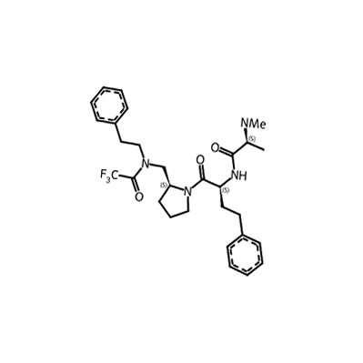 CN[C@@H](C)C(=O)N[C@@H](CCc1ccccc1)C(=O)N1CCC[C@H]1CN(CCc1ccccc1)C(=O)C(F)(F)F